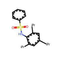 CC(C)c1cc(C(C)C)c(NS(=O)(=O)c2ccccc2)c(C(C)C)c1